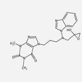 Cn1c(=O)c2c(ncn2CCCN(CC2(O)CO2)n2cnc3ccccc32)n(C)c1=O